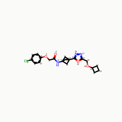 O=C(COc1ccc(Cl)cc1)NC12CC(c3nnc(COC4CCC4)o3)(C1)C2